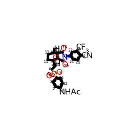 CC(=O)Nc1ccc(S(=O)(=O)CCC23CCC(C)(O2)[C@@H]2C(=O)N(c4ccc(C#N)c(C(F)(F)F)c4)C(=O)[C@@H]23)cc1